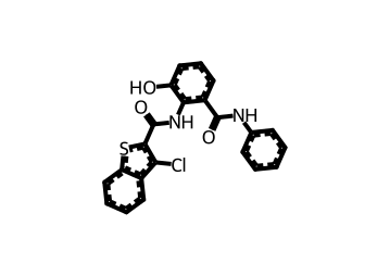 O=C(Nc1ccccc1)c1cccc(O)c1NC(=O)c1sc2ccccc2c1Cl